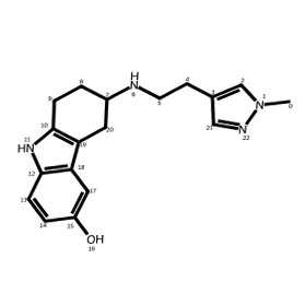 Cn1cc(CCNC2CCc3[nH]c4ccc(O)cc4c3C2)cn1